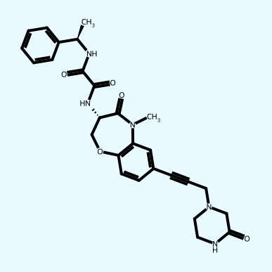 C[C@@H](NC(=O)C(=O)N[C@H]1COc2ccc(C#CCN3CCNC(=O)C3)cc2N(C)C1=O)c1ccccc1